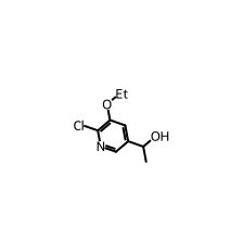 CCOc1cc(C(C)O)cnc1Cl